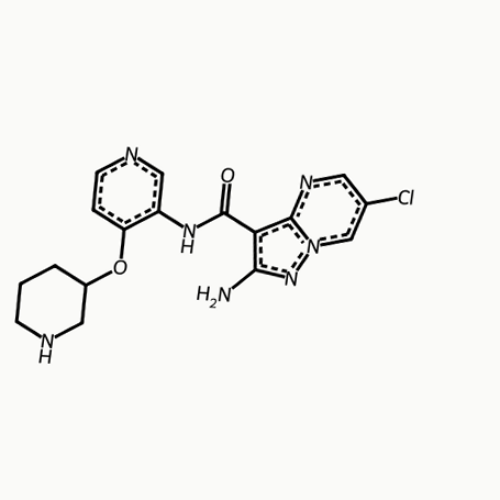 Nc1nn2cc(Cl)cnc2c1C(=O)Nc1cnccc1OC1CCCNC1